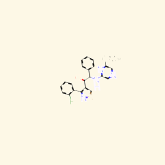 COc1cncc(NC(C(=O)c2csnc2-c2ccccc2F)c2ccccc2)n1